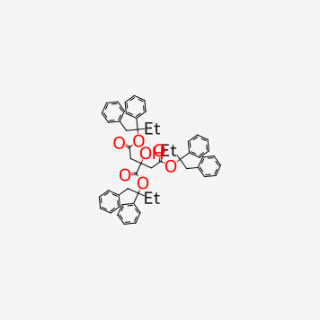 CCC(Cc1ccccc1)(OC(=O)CC(O)(CC(=O)OC(CC)(Cc1ccccc1)c1ccccc1)C(=O)OC(CC)(Cc1ccccc1)c1ccccc1)c1ccccc1